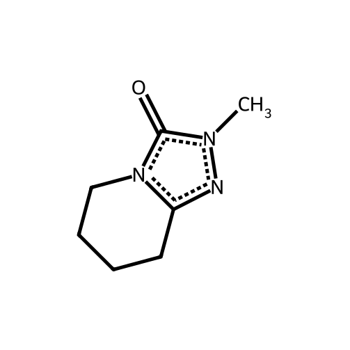 Cn1nc2n(c1=O)CCCC2